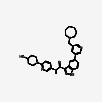 O=C(Nc1ccc(N2CCC(O)CC2)nc1)c1n[nH]c2ccc(-c3cncc(CN4CCCCCC4)c3)cc12